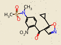 CN(c1ccc(C(=O)c2cnoc2C2CC2)c([N+](=O)[O-])c1)S(C)(=O)=O